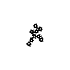 c1ccc(-c2ccc(-c3nc(-c4ccc5sc6ccccc6c5c4)nc(-c4cccc5oc6c(ccc7c8ccccc8n(-c8ccccc8)c76)c45)n3)cc2)cc1